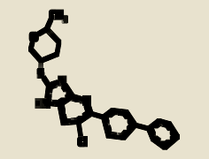 CC1CCC(Sc2nc3nc(-c4ccc(-c5ccccc5)cc4)c(Cl)cc3[nH]2)CO1